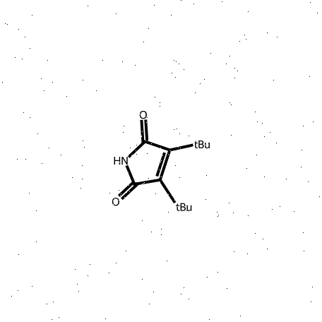 CC(C)(C)C1=C(C(C)(C)C)C(=O)NC1=O